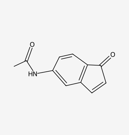 CC(=O)Nc1ccc2c(c1)C=CC2=O